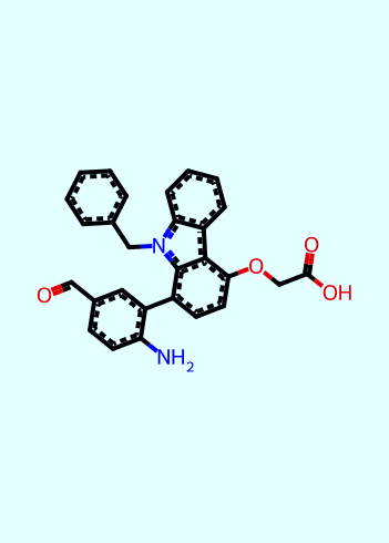 Nc1ccc(C=O)cc1-c1ccc(OCC(=O)O)c2c3ccccc3n(Cc3ccccc3)c12